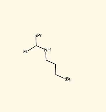 CCCC(CC)NCCCC(C)(C)C